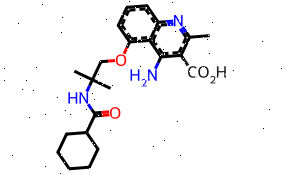 Cc1nc2cccc(OCC(C)(C)NC(=O)C3CCCCC3)c2c(N)c1C(=O)O